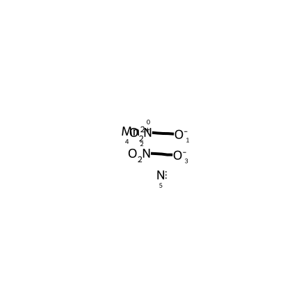 O=[N+]([O-])[O-].O=[N+]([O-])[O-].[Mn+2].[N]